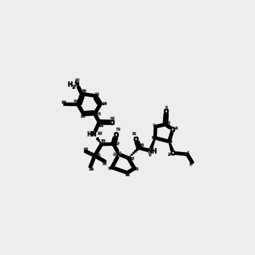 CCO[C@@H]1OC(=O)C[C@@H]1NC(=O)[C@@H]1CCCN1C(=O)[C@@H](NC(=O)c1ccc(N)c(C)c1)C(C)(C)C